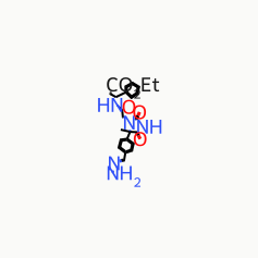 CCOC(=O)CC(NC(=O)CN1C(=O)NC(=O)C1(C)c1ccc(C=NN)cc1)c1ccccc1